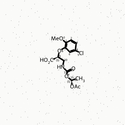 COc1ccc(Cl)cc1O[C@@H](CNC(=O)O[C@@H](C)OC(C)=O)C(=O)O